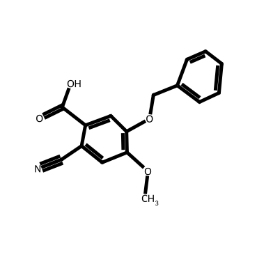 COc1cc(C#N)c(C(=O)O)cc1OCc1ccccc1